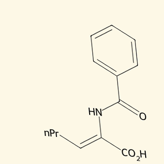 CCC/C=C(\NC(=O)c1ccccc1)C(=O)O